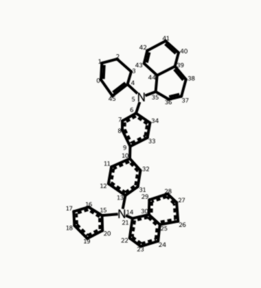 C1=CCCC(N(c2ccc(-c3ccc(N(c4ccccc4)c4cccc5ccccc45)cc3)cc2)C2C=CC=C3C=CC=CC32)=C1